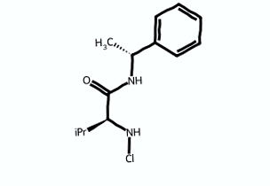 CC(C)[C@H](NCl)C(=O)N[C@H](C)c1ccccc1